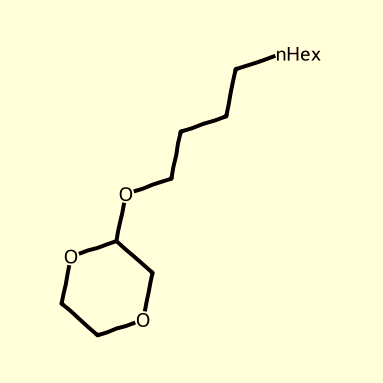 CCCCCCCCCCOC1COCCO1